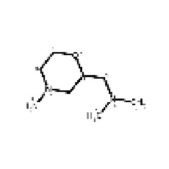 CN(C)CC1CN(N)CCO1